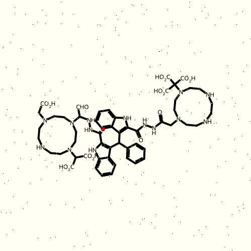 O=CC(NNC(=O)c1[nH]c2ccccc2c1C(c1ccccc1)c1c(C(=O)NNC(=O)CN2CCNCCNCCN(C(C(=O)O)(C(=O)O)C(=O)O)CC2)[nH]c2ccccc12)N1CCN(CC(=O)O)CCNCCN(C(C(=O)O)C(=O)O)CC1